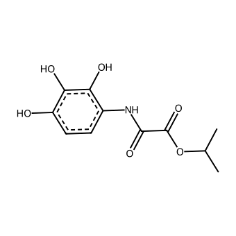 CC(C)OC(=O)C(=O)Nc1ccc(O)c(O)c1O